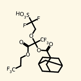 O=C(OC(OCC(F)(F)S(=O)(=O)O)(C(=O)OCCC(F)(F)F)C(F)(F)F)C12CC3CC(CC(C3)C1)C2